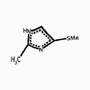 CSc1c[nH]c(C)n1